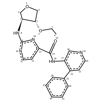 CCO[C@H]1COC[C@@H]1Nc1nccc(C(=O)Nc2cnccc2-c2ccccc2)n1